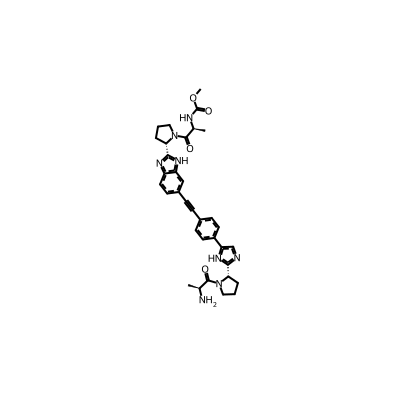 COC(=O)N[C@@H](C)C(=O)N1CCC[C@H]1c1nc2ccc(C#Cc3ccc(-c4cnc([C@@H]5CCCN5C(=O)[C@H](C)N)[nH]4)cc3)cc2[nH]1